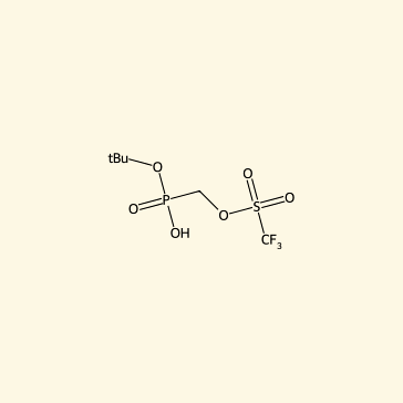 CC(C)(C)OP(=O)(O)COS(=O)(=O)C(F)(F)F